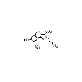 Cl.Cl.NCCCn1nc2c(c1C(=O)O)CCc1cc(O)ccc1-2